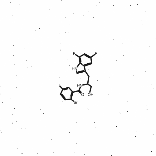 O=C(NC(CO)Cc1c[nH]c2c(F)cc(F)cc12)c1cc(I)ccc1Br